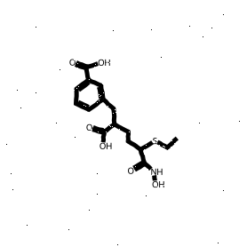 CCSC(CCC(Cc1cccc(C(=O)O)c1)C(=O)O)C(=O)NO